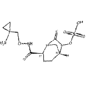 NC1(CONC(=O)[C@@H]2CC[C@@H]3CN2C(=O)N3OS(=O)(=O)O)CC1